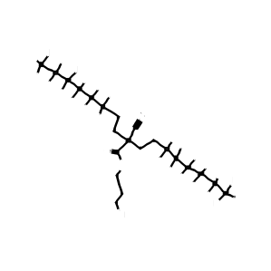 CCCCOC(=O)C(C#N)(CCC(F)(F)C(F)(F)C(F)(F)C(F)(F)C(F)(F)C(F)(F)F)CCC(F)(F)C(F)(F)C(F)(F)C(F)(F)C(F)(F)C(F)(F)F